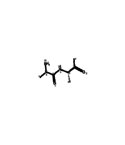 CC(=O)[C@H](C)NC(=O)N(C)N